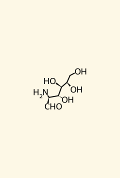 N[C@H](C=O)[C@@H](O)[C@@H](O)[C@H](O)CO